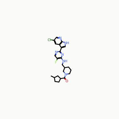 CC1CCC(C(=O)N2CCCC(CNc3nc(-c4c[nH]c5ncc(Cl)cc45)ncc3F)C2)C1